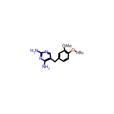 CCCCOc1ccc(Cc2cnc(N)nc2N)cc1OC